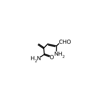 C=C(C=C(N)C=O)C(N)=O